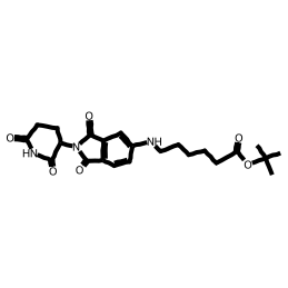 CC(C)(C)OC(=O)CCCCCNc1ccc2c(c1)C(=O)N(C1CCC(=O)NC1=O)C2=O